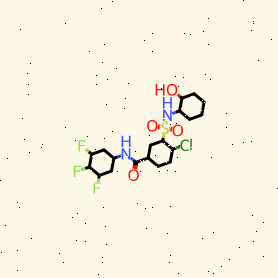 O=C(NC1CC(F)C(F)C(F)C1)C1CCC(Cl)C(S(=O)(=O)NC2CCCCC2O)C1